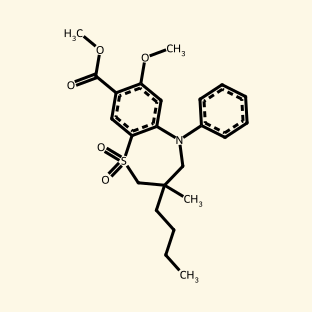 CCCCC1(C)CN(c2ccccc2)c2cc(OC)c(C(=O)OC)cc2S(=O)(=O)C1